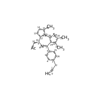 C#CCc1ccc(C2=N[C@@H](CC(C)=O)c3ccc(C)n3-c3sc(C)c(C)c32)cc1